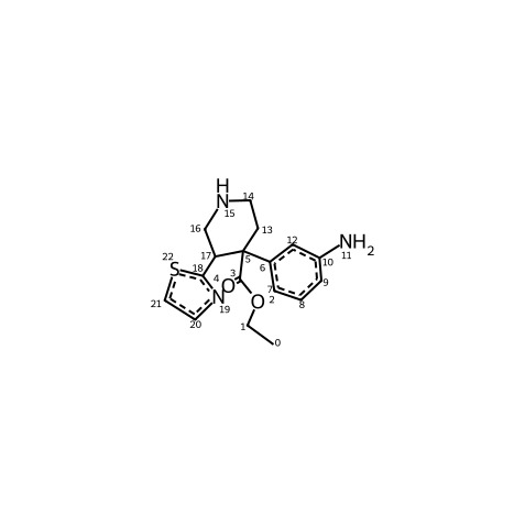 CCOC(=O)C1(c2cccc(N)c2)CCNCC1c1nccs1